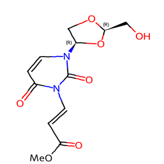 COC(=O)C=Cn1c(=O)ccn([C@H]2CO[C@@H](CO)O2)c1=O